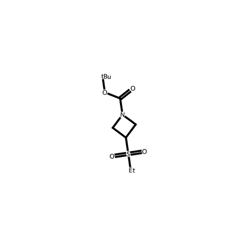 CCS(=O)(=O)C1CN(C(=O)OC(C)(C)C)C1